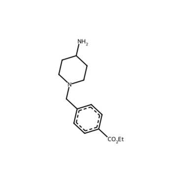 CCOC(=O)c1ccc(CN2CCC(N)CC2)cc1